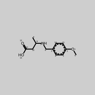 COc1ccc(CNC(C)CC(=O)O)cc1